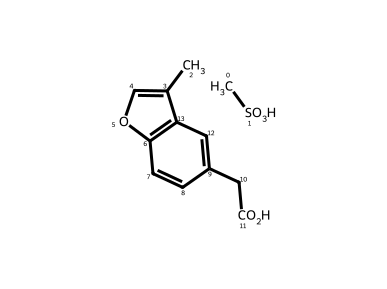 CS(=O)(=O)O.Cc1coc2ccc(CC(=O)O)cc12